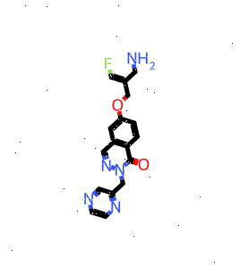 NCC(=CF)COc1ccc2c(=O)n(Cc3cnccn3)ncc2c1